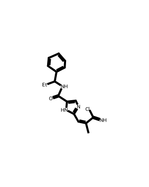 CCC(NC(=O)c1cnc(/C=C(/C)C(=N)Cl)[nH]1)c1ccccc1